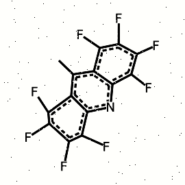 Cc1c2c(F)c(F)c(F)c(F)c2nc2c(F)c(F)c(F)c(F)c12